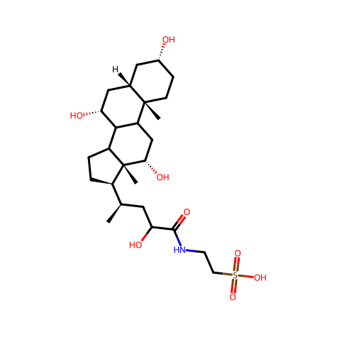 C[C@H](CC(O)C(=O)NCCS(=O)(=O)O)[C@H]1CCC2C3C(C[C@H](O)[C@@]21C)[C@@]1(C)CC[C@@H](O)C[C@H]1C[C@H]3O